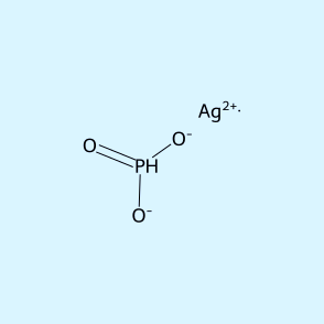 O=[PH]([O-])[O-].[Ag+2]